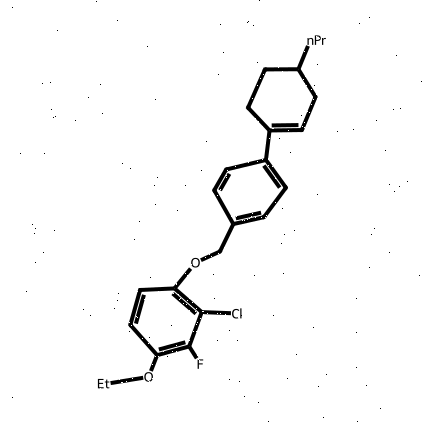 CCCC1CC=C(c2ccc(COc3ccc(OCC)c(F)c3Cl)cc2)CC1